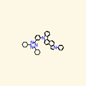 c1ccc(-n2ccc3c4ccc5c(c4ccc32)c2ccccc2n5-c2cccc(-c3nc(C4CCCCC4)nc(C4CCCCC4)n3)c2)cc1